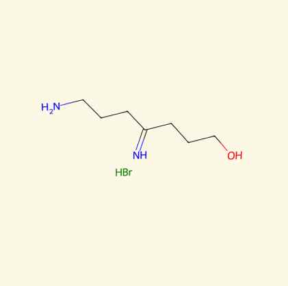 Br.N=C(CCCN)CCCO